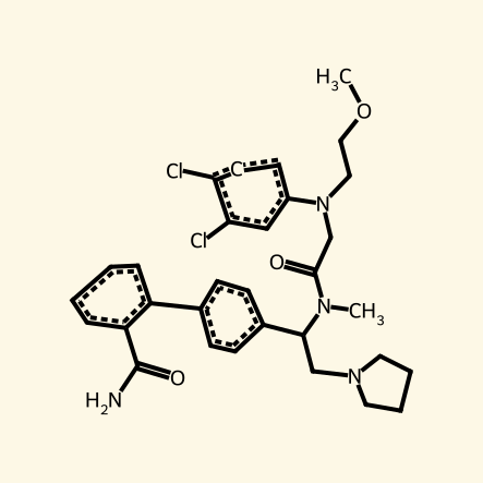 COCCN(CC(=O)N(C)C(CN1CCCC1)c1ccc(-c2ccccc2C(N)=O)cc1)c1ccc(Cl)c(Cl)c1